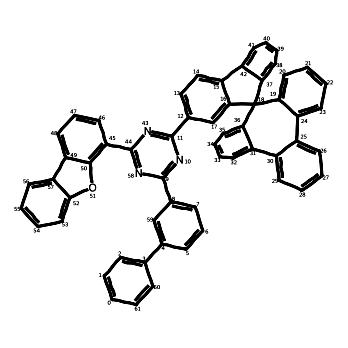 c1ccc(-c2cccc(-c3nc(-c4ccc5c(c4)C4(c6ccccc6-c6ccccc6-c6ccccc64)c4ccccc4-5)nc(-c4cccc5c4oc4ccccc45)n3)c2)cc1